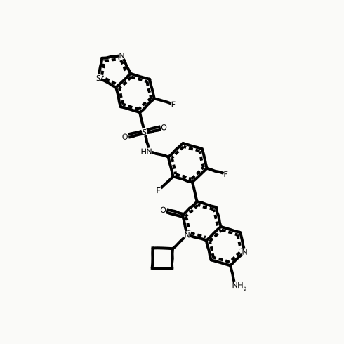 Nc1cc2c(cn1)cc(-c1c(F)ccc(NS(=O)(=O)c3cc4scnc4cc3F)c1F)c(=O)n2C1CCC1